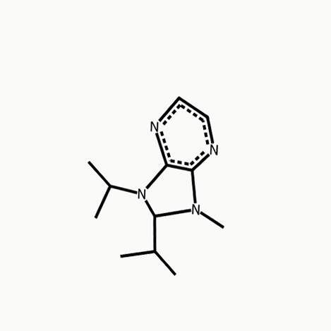 CC(C)C1N(C)c2nccnc2N1C(C)C